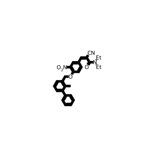 CCN(CC)C(=O)C(C#N)=Cc1ccc(OCc2cccc(-c3ccccc3)c2C)c([N+](=O)[O-])c1